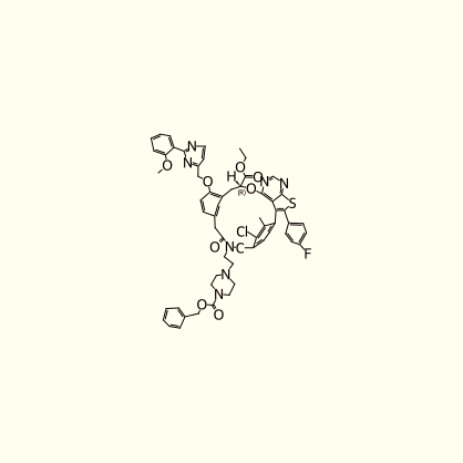 CCOC(=O)[C@H]1Cc2cc(ccc2OCc2ccnc(-c3ccccc3OC)n2)CC(=O)N(CCN2CCN(C(=O)OCc3ccccc3)CC2)Cc2ccc(c(C)c2Cl)-c2c(-c3ccc(F)cc3)sc3ncnc(c23)O1